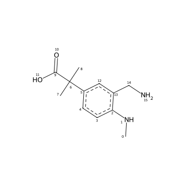 CNc1ccc(C(C)(C)C(=O)O)cc1CN